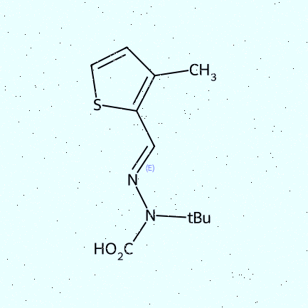 Cc1ccsc1/C=N/N(C(=O)O)C(C)(C)C